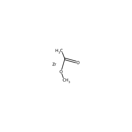 COC(C)=O.[Zr]